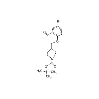 CC(C)(C)OC(=O)N1CCC(COc2ccc(Br)cc2C=O)CC1